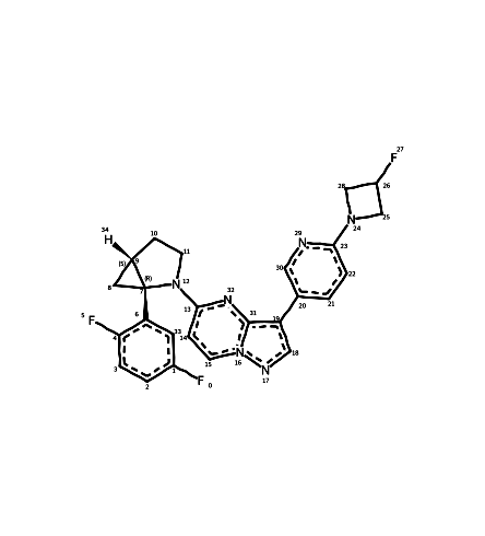 Fc1ccc(F)c([C@@]23C[C@@H]2CCN3c2ccn3ncc(-c4ccc(N5CC(F)C5)nc4)c3n2)c1